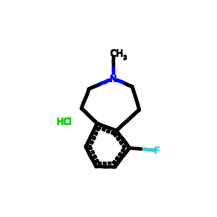 CN1CCc2cccc(F)c2CC1.Cl